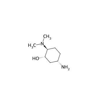 CN(C)[C@H]1CC[C@H](N)C[C@@H]1O